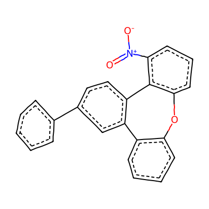 O=[N+]([O-])c1cccc2c1-c1ccc(-c3ccccc3)cc1-c1ccccc1O2